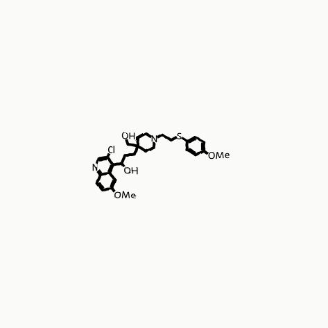 COc1ccc(SCCN2CCC(CO)(CCC(O)c3c(Cl)cnc4ccc(OC)cc34)CC2)cc1